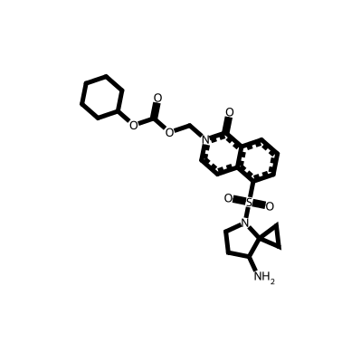 NC1CCN(S(=O)(=O)c2cccc3c(=O)n(COC(=O)OC4CCCCC4)ccc23)C12CC2